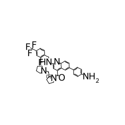 Nc1ccc(-c2ccc3nc(NCc4ccc(C(F)(F)F)cc4F)cc(C(=O)N4CCC[C@H]4CN4CCCC4)c3c2)cc1